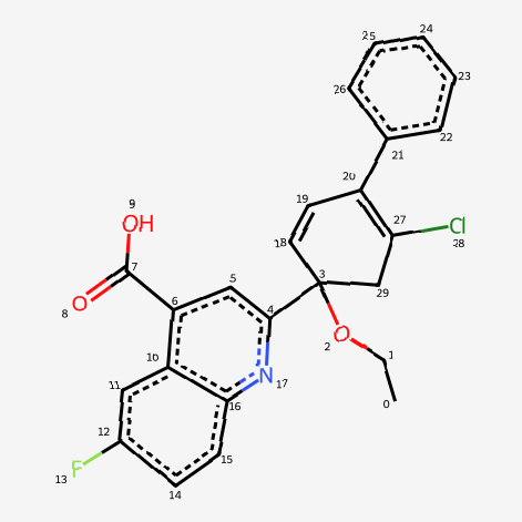 CCOC1(c2cc(C(=O)O)c3cc(F)ccc3n2)C=CC(c2ccccc2)=C(Cl)C1